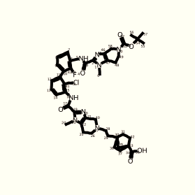 Cn1c(C(=O)Nc2cccc(-c3cccc(NC(=O)c4nc5c(n4C)CCN(CCC46CCC(C(=O)O)(CC4)C6)C5)c3Cl)c2F)nc2c1CCN(C(=O)OC(C)(C)C)C2